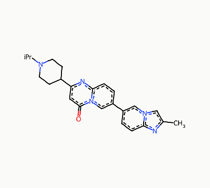 Cc1cn2cc(-c3ccc4nc(C5CCN(C(C)C)CC5)cc(=O)n4c3)ccc2n1